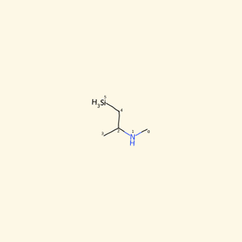 CNC(C)C[SiH3]